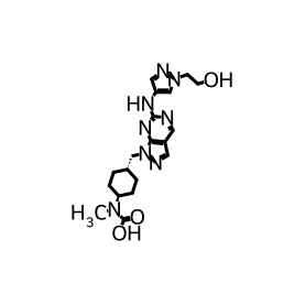 CN(C(=O)O)[C@H]1CC[C@H](Cn2ncc3cnc(Nc4cnn(CCO)c4)nc32)CC1